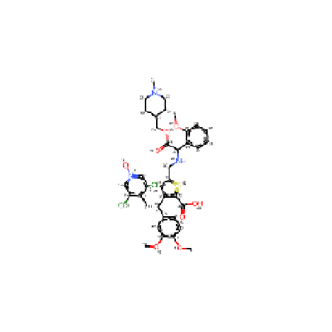 COc1ccc([C@H](Cc2c(Cl)c[n+]([O-])cc2Cl)c2cc(CNC(C(=O)OCC3CCN(C)CC3)c3ccccc3OC)sc2C(=O)O)cc1OC